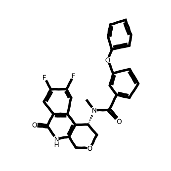 CN(C(=O)c1cccc(Oc2ccccc2)c1)[C@@H]1COCc2[nH]c(=O)c3cc(F)c(F)cc3c21